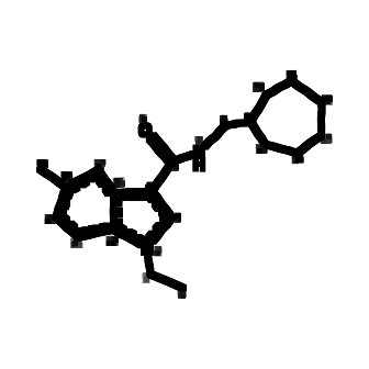 CCn1cc(C(=O)NCC2CCCCCC2)c2cc(C)ccc21